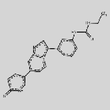 O=C(NCC(F)(F)F)Nc1cccc(-c2cnc3cc(-c4ccc(=O)[nH]c4)ccn23)c1